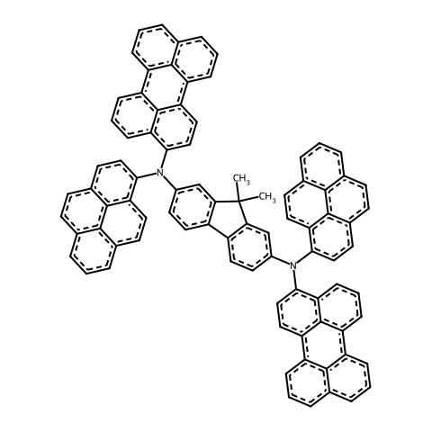 CC1(C)c2cc(N(c3ccc4c5cccc6cccc(c7cccc3c74)c65)c3ccc4ccc5cccc6ccc3c4c56)ccc2-c2ccc(N(c3ccc4c5cccc6cccc(c7cccc3c74)c65)c3ccc4ccc5cccc6ccc3c4c56)cc21